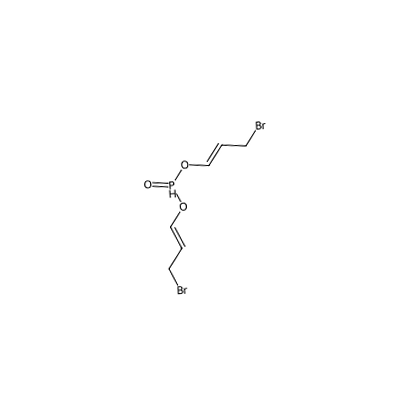 O=[PH](OC=CCBr)OC=CCBr